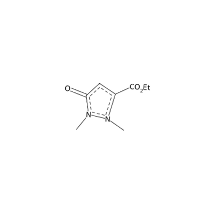 CCOC(=O)c1cc(=O)n(C)n1C